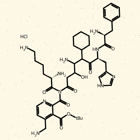 CC(C)(C)OC(=O)c1c(CN)ccnc1C(=O)N(C(=O)CC(O)C(N)C(C(=O)[C@H](Cc1c[nH]cn1)NC(=O)[C@@H](N)Cc1ccccc1)C1CCCCC1)C(=O)[C@@H](N)CCCCN.Cl